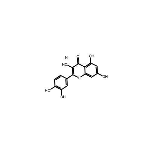 O=c1c(O)c(-c2ccc(O)c(O)c2)oc2cc(O)cc(O)c12.[Ni]